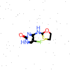 O=c1nc(NC2OCCS2)c(F)c[nH]1